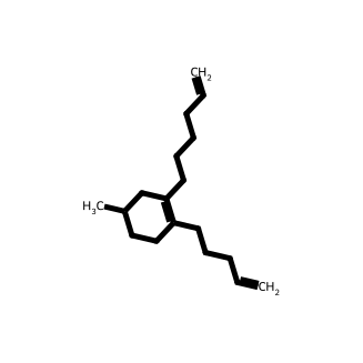 C=CCCCCC1=C(CCCC=C)CCC(C)C1